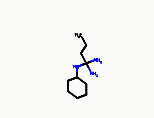 CCCC(N)(N)NC1CCCCC1